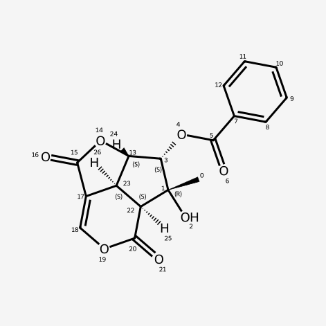 C[C@]1(O)[C@@H](OC(=O)c2ccccc2)[C@H]2OC(=O)C3=COC(=O)[C@H]1[C@@H]32